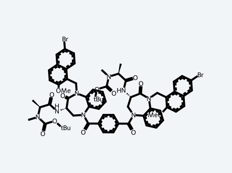 COc1ccc2cc(Br)ccc2c1CN1C(=O)[C@@H](NC(=O)[C@H](C)N(C)C(=O)OC(C)(C)C)CN(C(=O)c2ccc(C(=O)N3C[C@H](NC(=O)[C@H](C)N(C)C(=O)OC(C)(C)C)C(=O)N(Cc4c(OC)ccc5cc(Br)ccc45)c4ccccc43)cc2)c2ccccc21